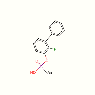 CCCCP(=O)(O)Oc1cccc(-c2ccccc2)c1F